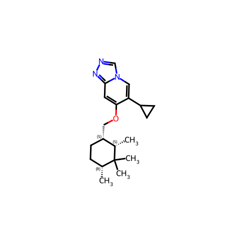 C[C@@H]1CC[C@H](COc2cc3nncn3cc2C2CC2)[C@H](C)C1(C)C